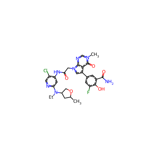 CCN(c1cc(NC(=O)Cn2cc(-c3cc(F)c(O)c(C(N)=O)c3)c3c(=O)n(C)cnc32)c(Cl)cn1)C1COC(C)C1